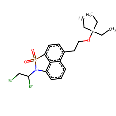 CC[Si](CC)(CC)OCCc1ccc2c3c(cccc13)N(C(Br)CBr)S2(=O)=O